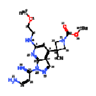 CCCOCCNc1cc(C2(C#N)CN(C(=O)OC(C)(C)C)C2)c2cnn(C(=N)/C=C\N)c2n1